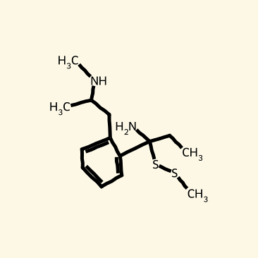 CCC(N)(SSC)c1ccccc1CC(C)NC